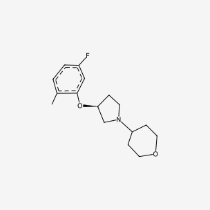 Cc1ccc(F)cc1O[C@H]1CCN(C2CCOCC2)C1